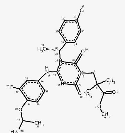 COC(=O)C(C)(C)Cn1c(=O)nc(Nc2ccc(OC(C)C)c(F)c2)n([C@H](C)c2ccc(Cl)cc2)c1=O